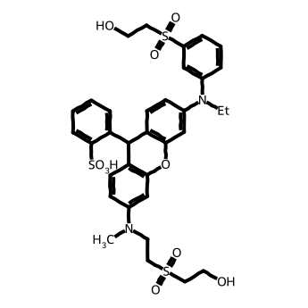 CCN(c1cccc(S(=O)(=O)CCO)c1)c1ccc2c(c1)Oc1cc(N(C)CCS(=O)(=O)CCO)ccc1C2c1ccccc1S(=O)(=O)O